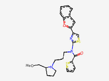 COCC1CCCN1CCCN(C(=O)c1cccs1)c1nc(-c2cc3ccccc3o2)cs1